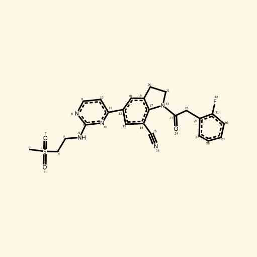 CS(=O)(=O)CCNc1nccc(-c2cc(C#N)c3c(c2)CCN3C(=O)Cc2ccccc2F)n1